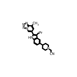 Cc1cc(-c2[nH]c3ccc(C4CCN(CC#N)CC4)cc3c2C(C)C)cn2nnnc12